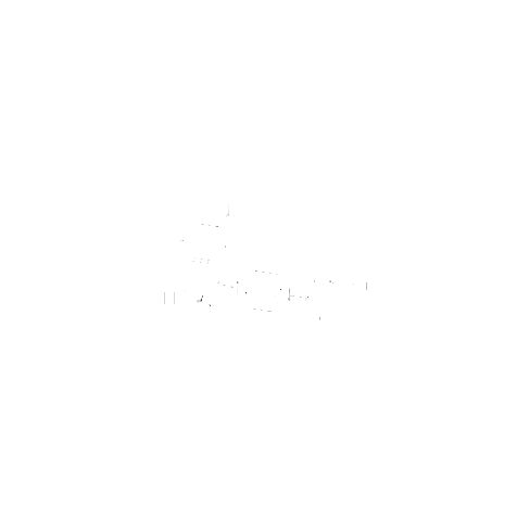 CC(C)(C)OC(=O)N1CCN(C(=NO)c2cc(F)ccc2F)CC1